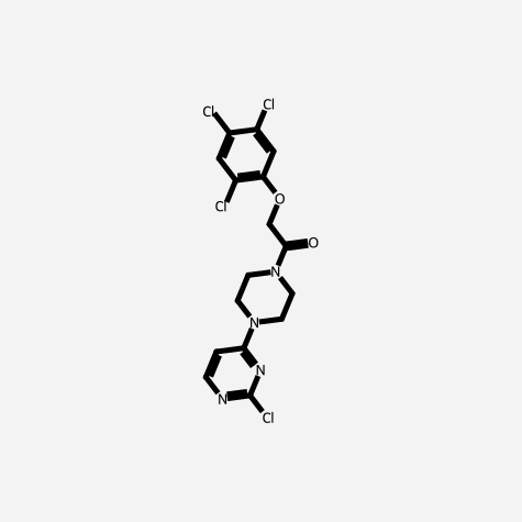 O=C(COc1cc(Cl)c(Cl)cc1Cl)N1CCN(c2ccnc(Cl)n2)CC1